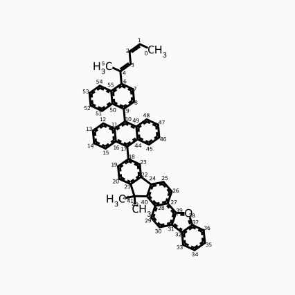 C/C=C\C=C(/C)c1ccc(-c2c3ccccc3c(-c3ccc4c(c3)-c3ccc5c(ccc6c7ccccc7oc56)c3C4(C)C)c3ccccc23)c2ccccc12